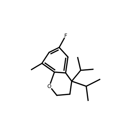 Cc1cc(F)cc2c1OCCC2(C(C)C)C(C)C